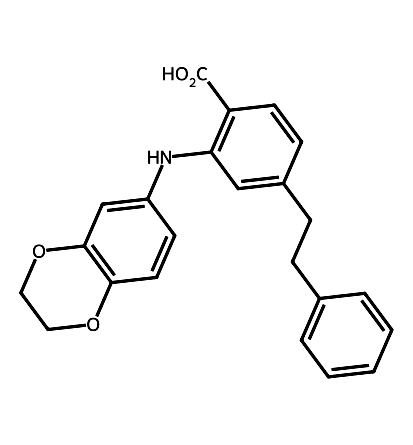 O=C(O)c1ccc(CCc2ccccc2)cc1Nc1ccc2c(c1)OCCO2